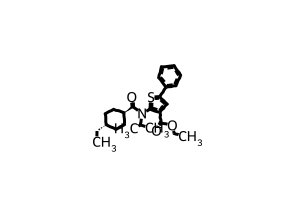 CCOC(=O)c1cc(-c2ccccc2)sc1N(C(=O)[C@H]1CC[C@H](CC)CC1)C(C)C